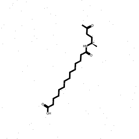 CC(=O)CC[C@@H](C)NC(=O)CCCCCCCCCCCCC(=O)O